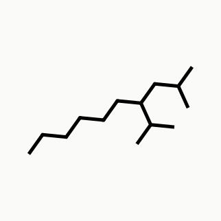 CCCCCC[C](CC(C)C)C(C)C